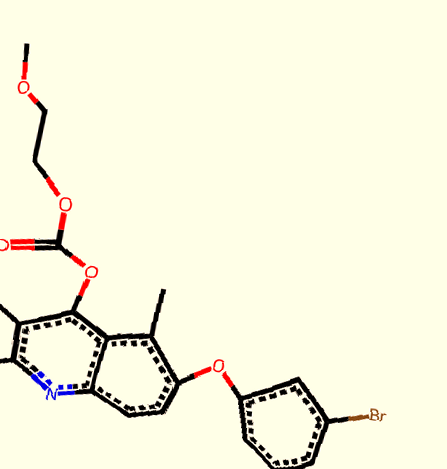 CCc1nc2ccc(Oc3cccc(Br)c3)c(C)c2c(OC(=O)OCCOC)c1C